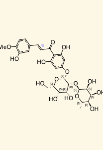 COc1ccc(/C=C/C(=O)c2c(O)cc(O[C@H]3O[C@@H](CO)[C@@H](O)[C@@H](O)[C@H]3O[C@@H]3O[C@@H](C)[C@H](O)[C@H](O)[C@@H]3O)cc2O)cc1O